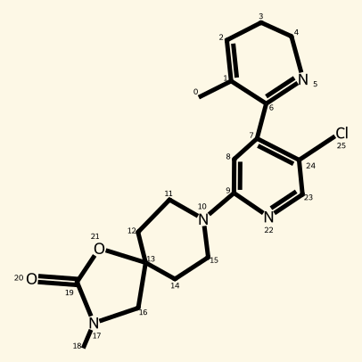 CC1=CCCN=C1c1cc(N2CCC3(CC2)CN(C)C(=O)O3)ncc1Cl